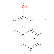 OC1=CCc2ccccc2C1